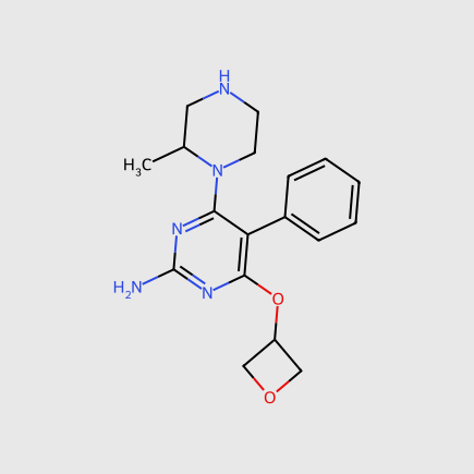 CC1CNCCN1c1nc(N)nc(OC2COC2)c1-c1ccccc1